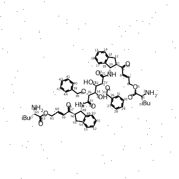 CC[C@H](C)[C@H](N)C(=O)OCC=CC(=O)[C@@H]1Cc2ccccc2[C@H]1NC(=O)[C@H](OCc1ccccc1)[C@H](O)[C@@H](O)[C@@H](OCc1ccccc1)C(=O)N[C@@H]1c2ccccc2C[C@H]1C(=O)C=CCOC(=O)[C@@H](N)[C@@H](C)CC